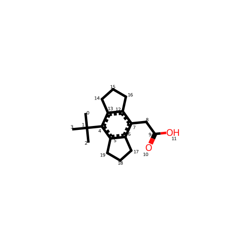 CC(C)(C)c1c2c(c(CC(=O)O)c3c1CCC3)CCC2